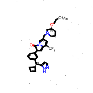 COCCO[C@@H]1CCCN(CC2=CN3C(=O)C(c4cccc([C@H](c5ccn[nH]5)C5CCC5)c4)C=C3C(C(F)(F)F)=C2)C1